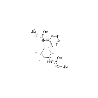 C[C@@H]1[C@H](C)C[C@H](c2ccncc2NC(=O)OC(C)(C)C)C[C@@H]1NC(=O)OC(C)(C)C